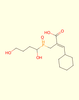 O=C(O)/C(=C/C1CCCCC1)C[PH](=O)C(O)CCCO